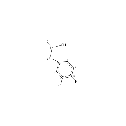 Cc1cc(OC(C)O)ccc1F